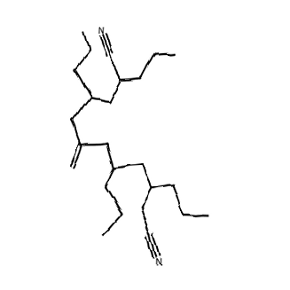 C=C(CC(CCC)CC(C#N)CCC)CC(CCC)CC(CC#N)CCC